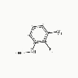 O=CNc1cccc(C(F)(F)F)c1F